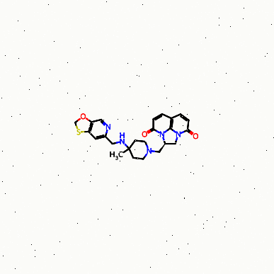 CC1(NCc2cc3c(cn2)OCS3)CCN(C[C@@H]2Cn3c(=O)ccc4ccc(=O)n2c43)CC1